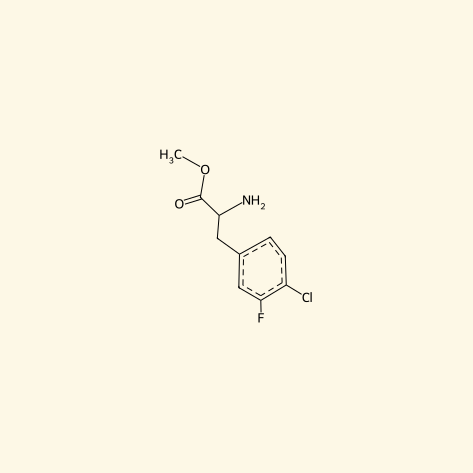 COC(=O)C(N)Cc1ccc(Cl)c(F)c1